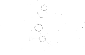 Cc1ncsc1NC(=O)Nc1ccc(-n2nc(C(F)(F)F)cc2C2CC2)cc1